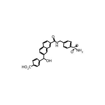 NS(=O)(=O)c1ccc(CNC(=O)c2ccc3ccc(C(O)c4ccc(C(=O)O)cc4)cc3c2)cc1